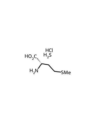 CSCC[C@H](N)C(=O)O.Cl.S